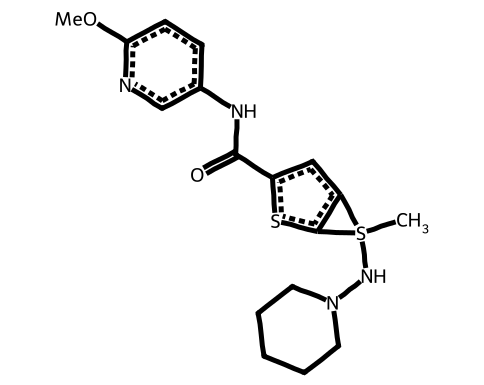 COc1ccc(NC(=O)c2cc3c(s2)S3(C)NN2CCCCC2)cn1